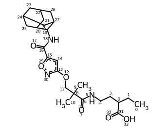 CCC(CCNC(=O)C(C)(C)COc1cc(C(=O)NC2C3CC4CC(C3)CC2C4)on1)C(=O)O